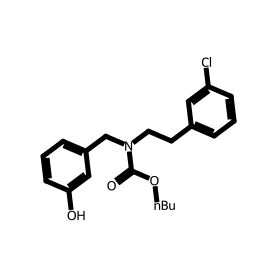 CCCCOC(=O)N(CCc1cccc(Cl)c1)Cc1cccc(O)c1